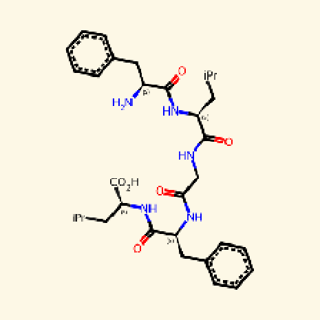 CC(C)C[C@H](NC(=O)[C@H](Cc1ccccc1)NC(=O)CNC(=O)[C@H](CC(C)C)NC(=O)[C@@H](N)Cc1ccccc1)C(=O)O